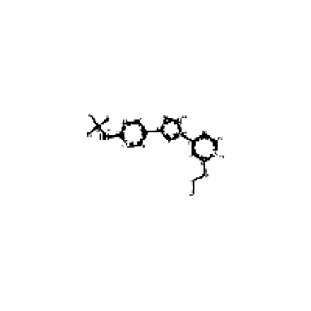 CCCc1cc(-n2cc(-c3cnc(NC(C)(C)C)nc3)cn2)ccn1